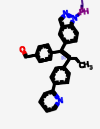 CC/C(=C(/c1ccc(C=O)cc1)c1ccc2c(cnn2PI)c1)c1ccc(-c2ccccn2)cc1